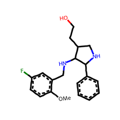 COc1ccc(F)cc1CNC1C(CCO)CNC1c1ccccc1